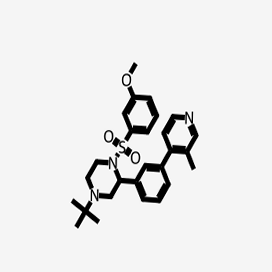 COc1cccc(S(=O)(=O)N2CCN(C(C)(C)C)CC2c2cccc(-c3ccncc3C)c2)c1